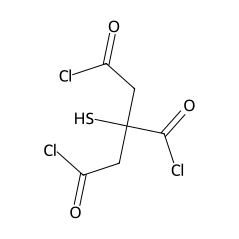 O=C(Cl)CC(S)(CC(=O)Cl)C(=O)Cl